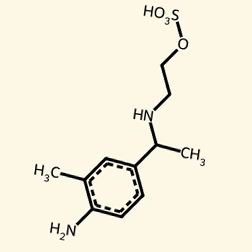 Cc1cc(C(C)NCCOS(=O)(=O)O)ccc1N